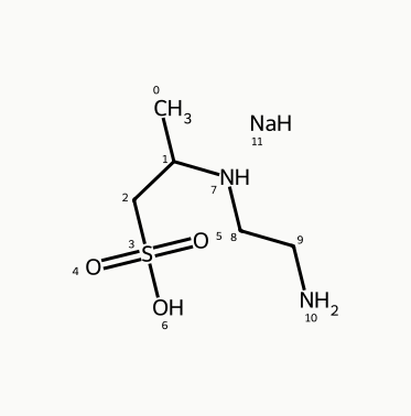 CC(CS(=O)(=O)O)NCCN.[NaH]